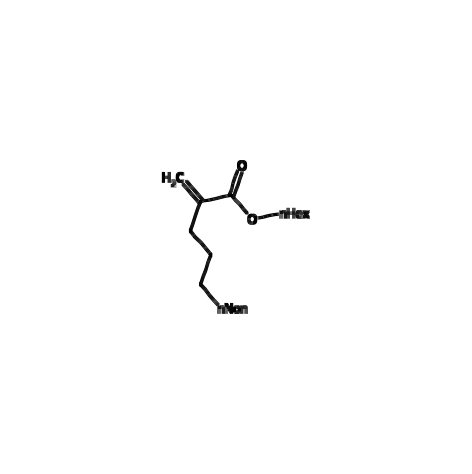 C=C(CCCCCCCCCCCC)C(=O)OCCCCCC